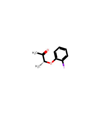 CC(=O)[C@@H](C)Oc1ccccc1I